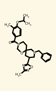 Cc1noc(C2CN(Cc3ccccc3)CC3(CCN(C(=O)c4ccc(OC(C)C)c(C)c4)CO3)C2)n1